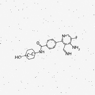 N=Cc1c(-c2ccc(C(=O)NC34CCC(O)(CC3)CC4)cc2)ncc(F)c1N